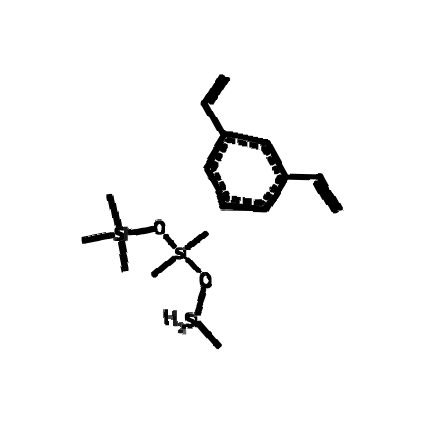 C=Cc1cccc(C=C)c1.C[SiH2]O[Si](C)(C)O[Si](C)(C)C